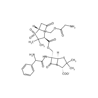 CC1(C)S[C@H]2N(C(=O)[C@@]2(COC(=O)[C@H]2C(C)(C)S(=O)(=O)[C@@H]3CC(=O)[N+]32COC(=O)CN)NC(=O)C(N)c2ccccc2)[C@H]1C(=O)[O-]